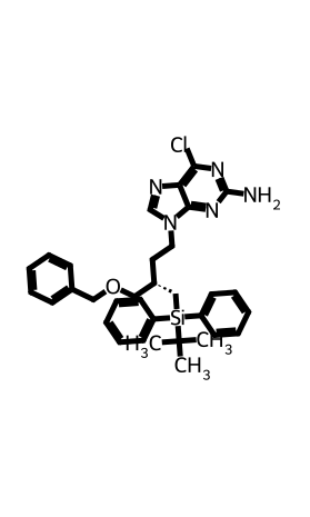 CC(C)(C)[Si](C[C@@H](CCn1cnc2c(Cl)nc(N)nc21)COCc1ccccc1)(c1ccccc1)c1ccccc1